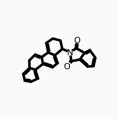 O=C1c2ccccc2C(=O)N1C1CCC=c2c1ccc1c2=CCc2ccccc2-1